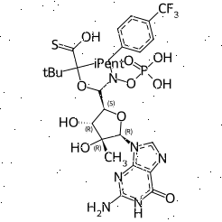 CCCC(C)C(OC([C@H]1O[C@@H](n2cnc3c(=O)[nH]c(N)nc32)[C@](C)(O)[C@@H]1O)N(Cc1ccc(C(F)(F)F)cc1)OP(=O)(O)O)(C(O)=S)C(C)(C)C